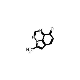 Cc1cc2ccc(=O)c3ncnn1c23